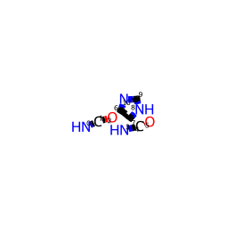 N=C=O.N=C=O.c1c[nH]cn1